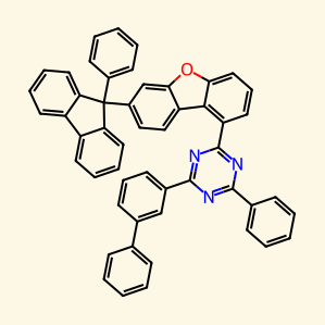 c1ccc(-c2cccc(-c3nc(-c4ccccc4)nc(-c4cccc5oc6cc(C7(c8ccccc8)c8ccccc8-c8ccccc87)ccc6c45)n3)c2)cc1